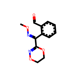 CON=C(C1=NOCCO1)c1ccccc1C=O